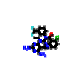 CCN(c1nc(N)nc(N)c1C#N)c1nc2cccc(Cl)c2c(=O)n1-c1cccc(C(F)F)c1